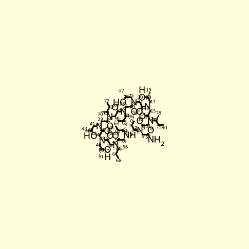 CC[C@@H](C)N(CC(N)=O)C(=O)CN(C(=O)CN(C[C@H](C)O)C(=O)CN(C[C@@H](C)O)C(=O)CN(C(=O)CN(C(=O)CN(C[C@H](C)O)C(=O)CN(C[C@@H](C)O)C(=O)CN(C(=O)CN[C@@H](C)CC)[C@H](C)CC)[C@@H](C)CC)[C@H](C)CC)[C@@H](C)CC